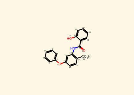 O=C(Nc1cc(Oc2ccccc2)ccc1C(=O)O)c1ccccc1O